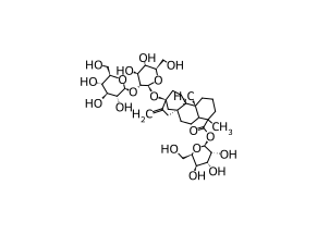 C=C1C[C@@]23CCC4C(C)(C(=O)O[C@@H]5O[C@H](CO)[C@H](O)[C@@H](O)[C@H]5O)CCC[C@@]4(C)C2CC[C@]1(O[C@@H]1O[C@H](CO)[C@@H](O)[C@H](O)[C@H]1O[C@@H]1O[C@H](CO)[C@@H](O)[C@H](O)[C@H]1O)C3